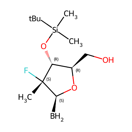 B[C@@H]1O[C@H](CO)[C@@H](O[Si](C)(C)C(C)(C)C)[C@@]1(C)F